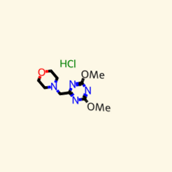 COc1nc(CN2CCOCC2)nc(OC)n1.Cl